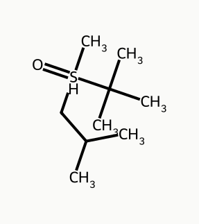 CC(C)C[SH](C)(=O)C(C)(C)C